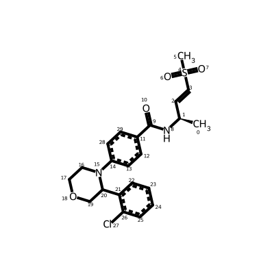 C[C@H](/C=C/S(C)(=O)=O)NC(=O)c1ccc(N2CCOCC2c2ccccc2Cl)cc1